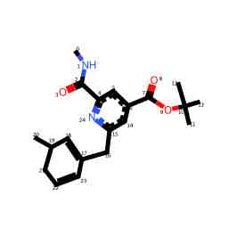 CNC(=O)c1cc(C(=O)OC(C)(C)C)cc(CC2=CC(C)CC=C2)n1